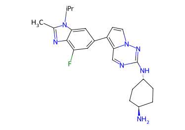 Cc1nc2c(F)cc(-c3ccn4nc(N[C@H]5CC[C@H](N)CC5)ncc34)cc2n1C(C)C